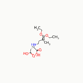 CCO[SiH](OCC)C(C)CCN[C@@H](CC(=O)O)C(=O)O